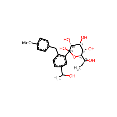 COc1ccc(Cc2ccc(C(C)O)cc2[C@@]2(O)O[C@H]([C@H](C)O)[C@@H](O)[C@H](O)[C@H]2O)cc1